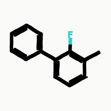 Cc1[c]ccc(-c2ccccc2)c1F